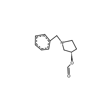 O=CO[C@@H]1CCN(Cc2ccccc2)C1